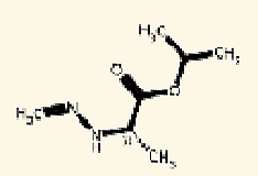 C=NN[C@@H](C)C(=O)OC(C)C